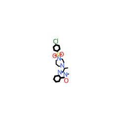 CC(c1nc2ccccc2c(=O)n1C)N1CCCN(S(=O)(=O)c2ccc(Cl)cc2)CC1